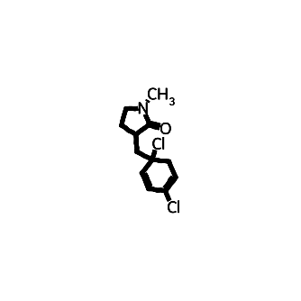 CN1CCC(CC2(Cl)C=CC(Cl)=CC2)C1=O